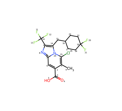 Cc1c(C(=O)O)cc2nc(C(F)(F)F)c(CC3CCC(F)(F)CC3)n2c1Cl